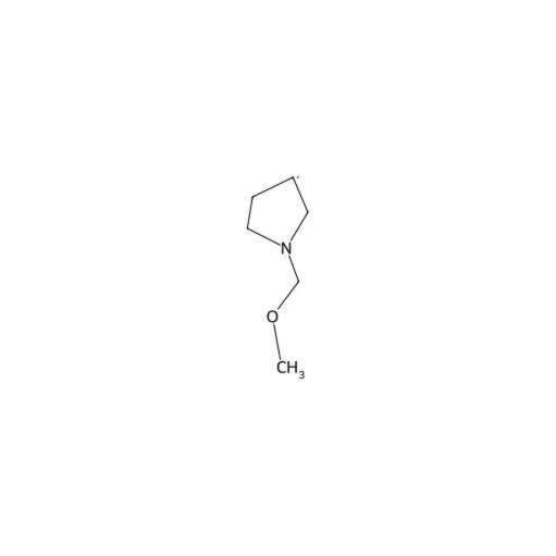 COCN1C[CH]CC1